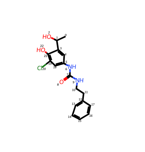 CC(O)c1cc(NC(=O)NCCc2ccccc2)cc(Cl)c1O